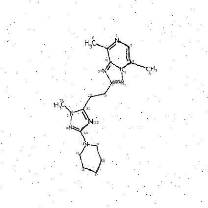 Cc1ncc(C)n2nc(CCc3nc(N4CCCCC4)nn3C)nc12